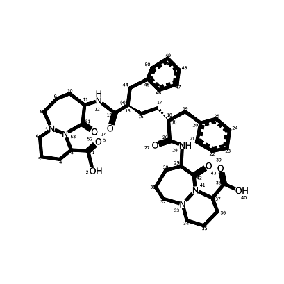 O=C(O)C1CCCN2CCCC(NC(=O)[C@H](CC[C@H](Cc3ccccc3)C(=O)NC3CCCN4CCCC(C(=O)O)N4C3=O)Cc3ccccc3)C(=O)N12